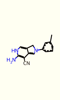 Cc1cccc(N2C=C3C(=CNC(N)=C3C#N)C2)c1